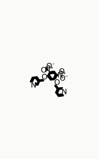 O=[N+]([O-])c1cc([N+](=O)[O-])c(OCc2cccnc2)cc1OCc1cccnc1